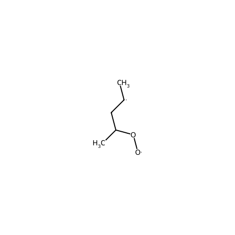 C[CH]CC(C)O[O]